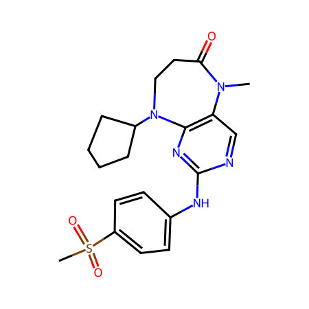 CN1C(=O)CCN(C2CCCC2)c2nc(Nc3ccc(S(C)(=O)=O)cc3)ncc21